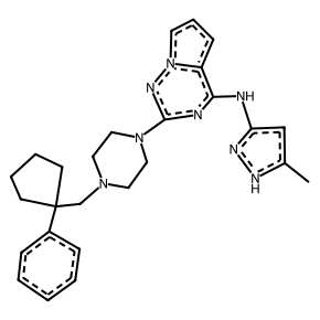 Cc1cc(Nc2nc(N3CCN(CC4(c5ccccc5)CCCC4)CC3)nn3cccc23)n[nH]1